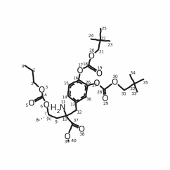 CCCOC(=O)O[C@@H](C)CC(N)(Cc1ccc(OC(=O)OCC(C)(C)C)c(OC(=O)OCC(C)(C)C)c1)C(=O)OC